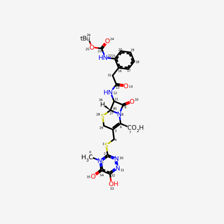 Cn1c(SCC2=C(C(=O)O)N3C(=O)C(NC(=O)Cc4ccccc4NC(=O)OC(C)(C)C)[C@H]3SC2)nnc(O)c1=O